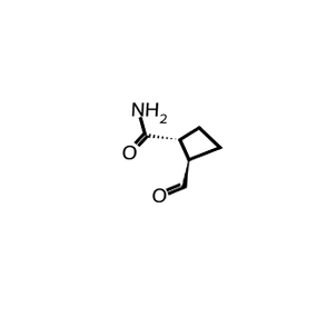 NC(=O)[C@@H]1CC[C@H]1C=O